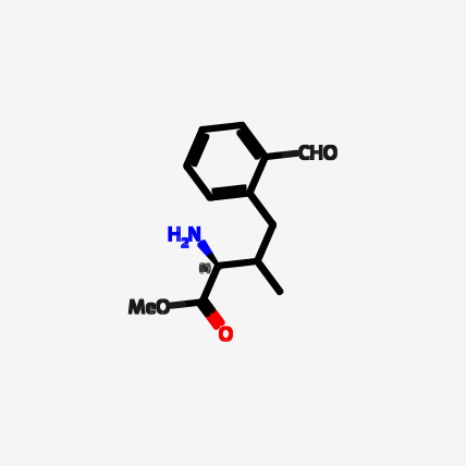 COC(=O)[C@@H](N)C(C)Cc1ccccc1C=O